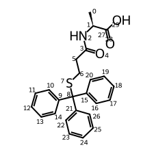 C[C@H](NC(=O)CCSC(c1ccccc1)(c1ccccc1)c1ccccc1)C(=O)O